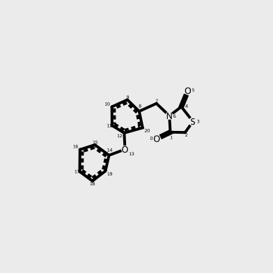 O=C1CSC(=O)N1Cc1cccc(Oc2ccccc2)c1